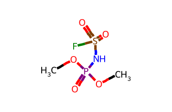 COP(=O)(NS(=O)(=O)F)OC